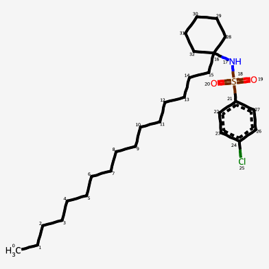 CCCCCCCCCCCCCCCCC1(NS(=O)(=O)c2ccc(Cl)cc2)CCCCC1